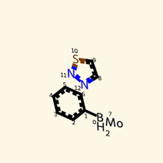 Bc1ccccc1.[Mo].c1csnn1